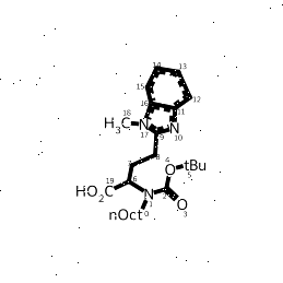 CCCCCCCCN(C(=O)OC(C)(C)C)C(CCc1nc2ccccc2n1C)C(=O)O